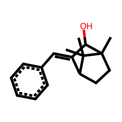 CC1(C)C2CCC1(C)C(O)C2=Cc1ccccc1